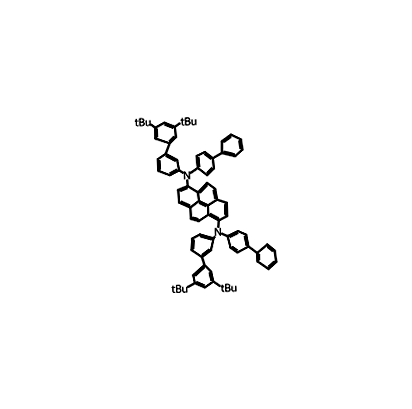 CC(C)(C)c1cc(-c2cccc(N(c3ccc(-c4ccccc4)cc3)c3ccc4ccc5c(N(c6ccc(-c7ccccc7)cc6)c6cccc(-c7cc(C(C)(C)C)cc(C(C)(C)C)c7)c6)ccc6ccc3c4c65)c2)cc(C(C)(C)C)c1